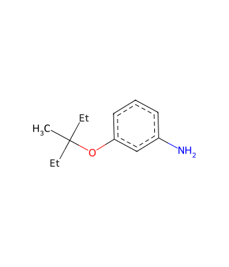 CCC(C)(CC)Oc1cccc(N)c1